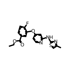 CCOC(=O)c1ccc(F)c(Oc2ccnc(Nc3nc(C)cs3)c2)c1